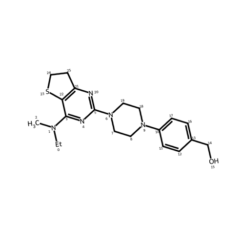 CCN(C)c1nc(N2CCN(c3ccc(CO)cc3)CC2)nc2c1SCC2